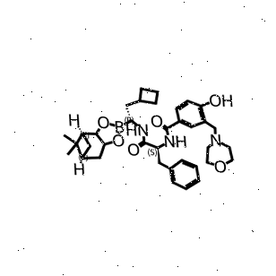 CC1(C)[C@@H]2CC3OB([C@H](CC4CCC4)NC(=O)[C@H](Cc4ccccc4)NC(=O)c4ccc(O)c(CN5CCOCC5)c4)OC3[C@H]1C2